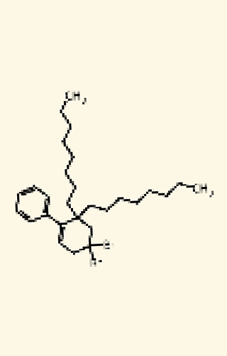 CCCCCCCCC1(CCCCCCCC)CC(Br)(Br)CC=C1c1ccccc1